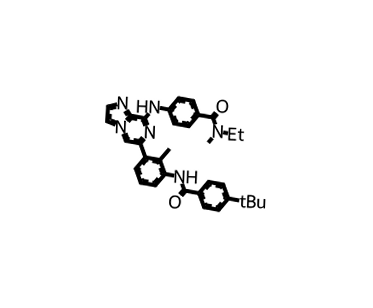 CCN(C)C(=O)c1ccc(Nc2nc(-c3cccc(NC(=O)c4ccc(C(C)(C)C)cc4)c3C)cn3ccnc23)cc1